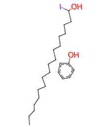 CCCCCCCCCCCCCCCCCC(O)I.Oc1ccccc1